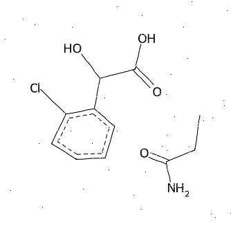 CCC(N)=O.O=C(O)C(O)c1ccccc1Cl